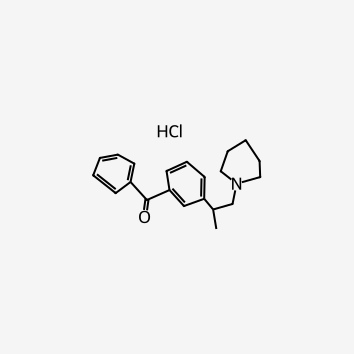 CC(CN1CCCCC1)c1cccc(C(=O)c2ccccc2)c1.Cl